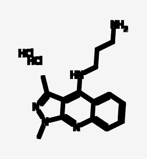 Cc1nn(C)c2nc3ccccc3c(NCCCN)c12.Cl.Cl